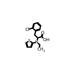 CCN(c1cccs1)C(Cc1ccccc1Cl)C(=O)O